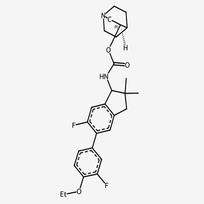 CCOc1ccc(-c2cc3c(cc2F)C(NC(=O)O[C@H]2CN4CCC2CC4)C(C)(C)C3)cc1F